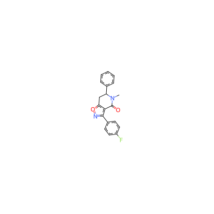 CN1C(=O)c2c(-c3ccc(F)cc3)noc2CC1c1ccccc1